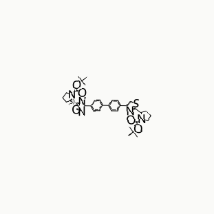 CC(C)(C)OC(=O)N1CCCC1c1nc(-c2ccc(-c3ccc(-c4noc([C@@H]5CCCN5C(=O)OC(C)(C)C)n4)cc3)cc2)cs1